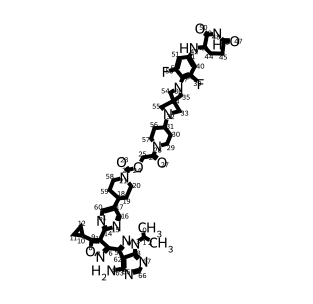 CC(C)n1nc(-c2noc(C3CC3)c2-c2ncc(C3CCN(C(=O)OCC(=O)N4CCC(N5CC6(CN(c7c(F)cc(NC8CCC(=O)NC8=O)cc7F)C6)C5)CC4)CC3)cn2)c2c(N)ncnc21